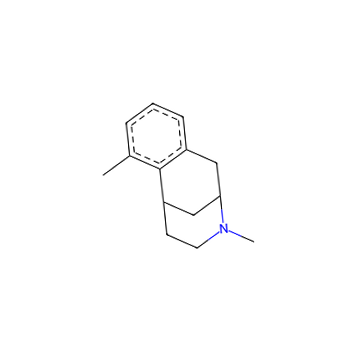 Cc1cccc2c1C1CCN(C)C(C2)C1